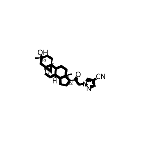 C[C@@H]1[C@]23CC[C@H]4C5CC[C@H](C(=O)Cn6cc(C#N)cn6)[C@@]5(C)CCC4[C@]12CC[C@@](C)(O)C3